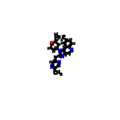 Cc1cnc(Cc2nc3cnc4ccc(C(F)(F)F)cc4c3n2C2CCO[C@H](C)C2)cn1